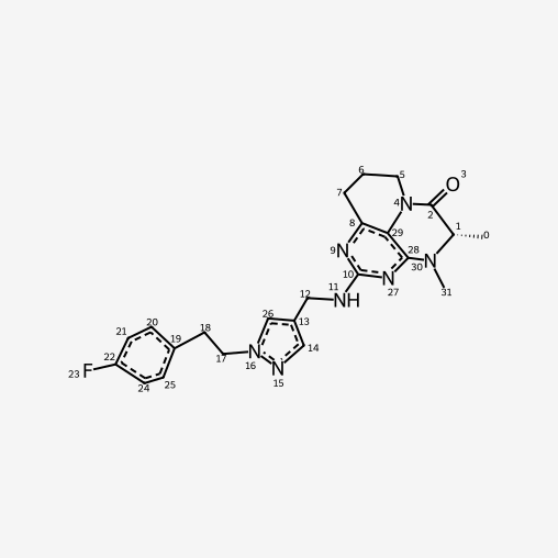 C[C@H]1C(=O)N2CCCc3nc(NCc4cnn(CCc5ccc(F)cc5)c4)nc(c32)N1C